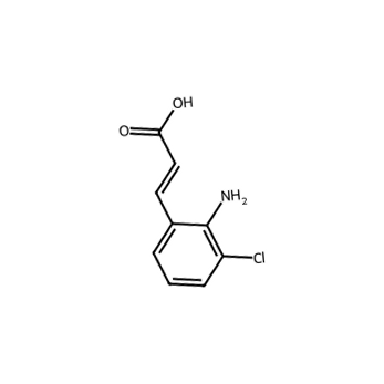 Nc1c(Cl)cccc1C=CC(=O)O